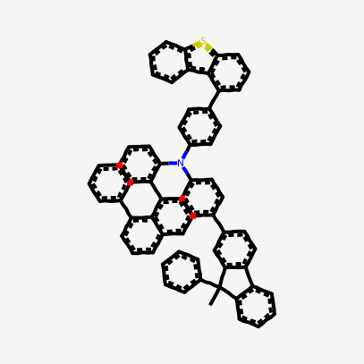 CC1(c2ccccc2)c2ccccc2-c2ccc(-c3ccc(N(c4ccc(-c5cccc6sc7ccccc7c56)cc4)c4ccccc4-c4cccc5cccc(-c6ccccc6)c45)cc3)cc21